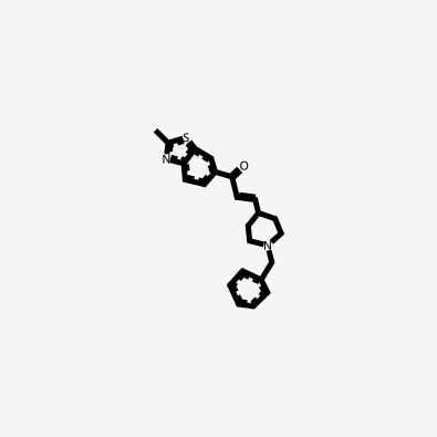 Cc1nc2ccc(C(=O)C=CC3CCN(Cc4ccccc4)CC3)cc2s1